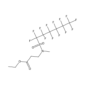 CCOC(=O)CCN(C)S(=O)(=O)C(F)(F)C(F)(F)C(F)(F)C(F)(F)C(F)(F)C(F)(F)F